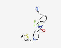 N#Cc1ccc(CNC(=O)C2CCN(Cc3cccs3)CC2)c(C(F)(F)F)c1